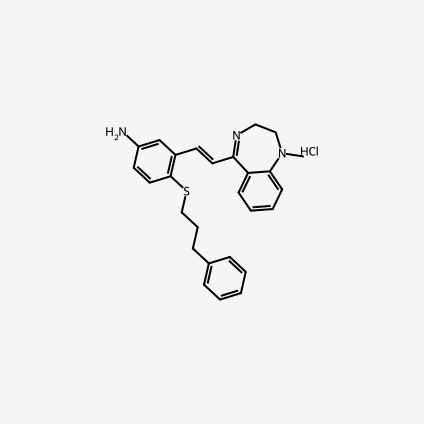 CN1CCN=C(C=Cc2cc(N)ccc2SCCCc2ccccc2)c2ccccc21.Cl